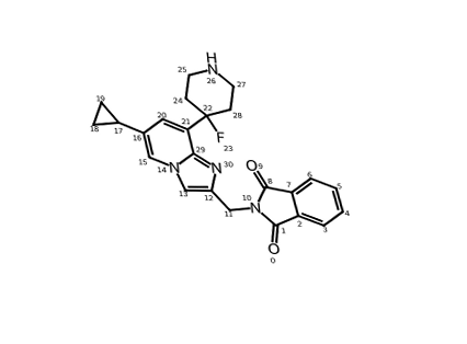 O=C1c2ccccc2C(=O)N1Cc1cn2cc(C3CC3)cc(C3(F)CCNCC3)c2n1